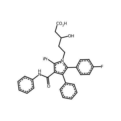 CC(C)c1c(C(=O)Nc2ccccc2)c(-c2ccccc2)c(-c2ccc(F)cc2)n1CCC(O)CC(=O)O